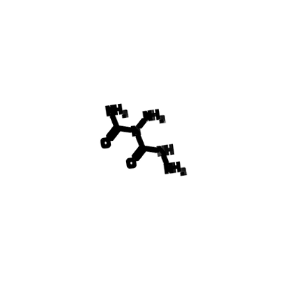 NNC(=O)N(N)C(N)=O